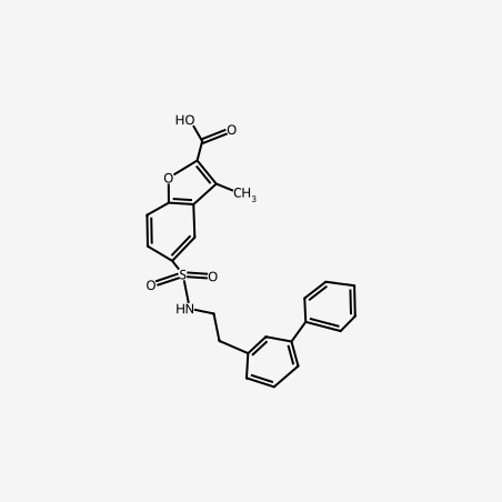 Cc1c(C(=O)O)oc2ccc(S(=O)(=O)NCCc3cccc(-c4ccccc4)c3)cc12